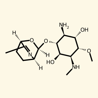 CN[C@H]1[C@@H](O)[C@H](O[C@@H]2O[C@@H]3CC[C@H]2N=C3C)[C@@H](N)[C@H](O)[C@@H]1OC